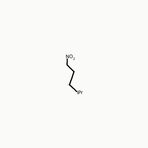 CC(C)[CH]CC[N+](=O)[O-]